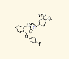 COc1ccc(/C=C/C(=O)Nc2ccccc2COc2ccc(F)cc2)cc1O